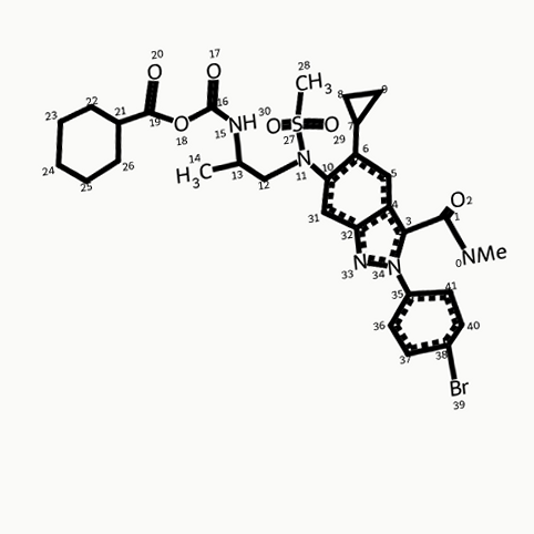 CNC(=O)c1c2cc(C3CC3)c(N(CC(C)NC(=O)OC(=O)C3CCCCC3)S(C)(=O)=O)cc2nn1-c1ccc(Br)cc1